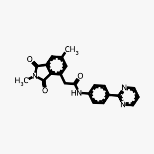 Cc1cc(CC(=O)Nc2ccc(-c3ncccn3)cc2)c2c(c1)C(=O)N(C)C2=O